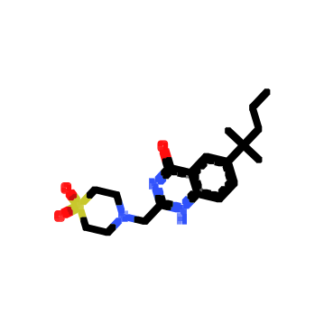 CCCC(C)(C)c1ccc2[nH]c(CN3CCS(=O)(=O)CC3)nc(=O)c2c1